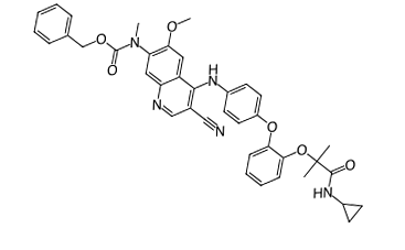 COc1cc2c(Nc3ccc(Oc4ccccc4OC(C)(C)C(=O)NC4CC4)cc3)c(C#N)cnc2cc1N(C)C(=O)OCc1ccccc1